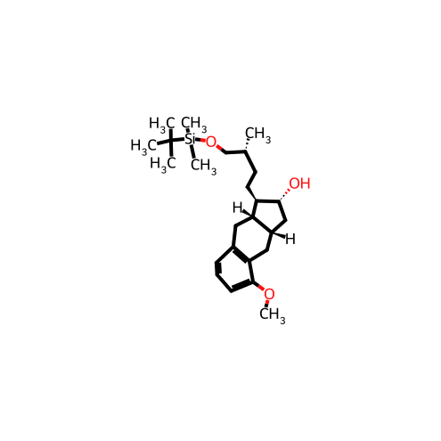 COc1cccc2c1C[C@H]1C[C@@H](O)[C@H](CC[C@@H](C)CO[Si](C)(C)C(C)(C)C)[C@H]1C2